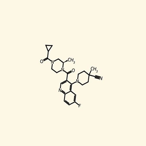 C[C@@H]1CN(C(=O)C2CC2)CCN1C(=O)c1cnc2ccc(F)cc2c1N1CCC(C)(C#N)CC1